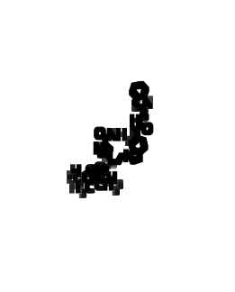 CC(C)(C)[Si](C)(C)OC[C@@H](CCn1ccc2ccc(NC(=O)CSc3nc4ccccc4s3)cc21)n1cnc(C(N)=O)c1